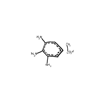 CC(=O)O.Nc1cccc(N)c1N